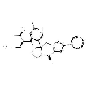 CO/C=C(\C(C)=N)C(=O)N1CCN2C(=O)c3cc(-c4cccnc4)cn3CC12c1cnc(C)cn1